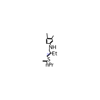 C=C(CCC)S/C=C(\CC)CNc1ccc(C)c(C)c1